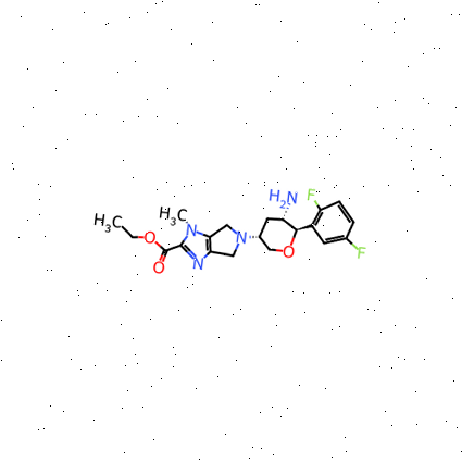 CCOC(=O)c1nc2c(n1C)CN([C@H]1CO[C@H](c3cc(F)ccc3F)[C@@H](N)C1)C2